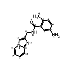 Cc1ccc(N)cc1C(=O)NCc1cn2ccccc2n1